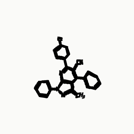 CCc1ccc(-c2nc3c(c(C)nn3-c3ccccc3)c(-c3ccccc3)c2C#N)cc1